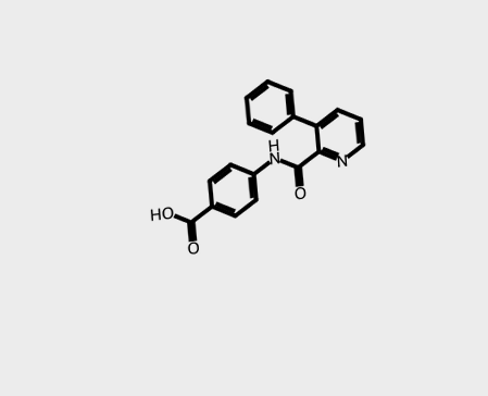 O=C(O)c1ccc(NC(=O)c2ncccc2-c2ccccc2)cc1